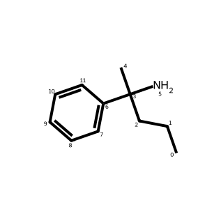 CCCC(C)(N)c1c[c]ccc1